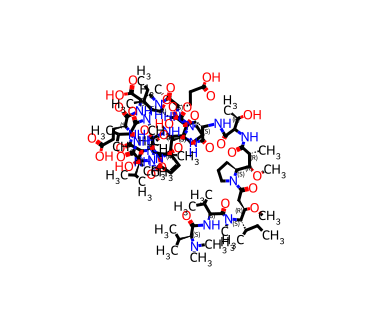 CCC(C)[C@@H]([C@@H](CC(=O)N1CCC[C@H]1[C@H](OC)[C@@H](C)C(=O)NC(C(=O)N[C@@H](CCC(=O)O)C(=O)N[C@@H](CNC(=O)[C@H](CN)N1C(=O)C=CC1=O)C(=O)N[C@@H](CCC(=O)O)C(=O)NC[C@H](NC(=O)[C@H](CCC(=O)O)NC(=O)C(NC(=O)[C@H](C)[C@@H](OC)[C@@H]1CCCN1C(=O)C[C@@H](OC)[C@H]([C@@H](C)CC)N(C)C(=O)C(NC(=O)[C@H](C(C)C)N(C)C)C(C)C)[C@@H](C)O)C(=O)O)[C@@H](C)O)OC)N(C)C(=O)[C@@H](NC(=O)[C@H](C(C)C)N(C)C)C(C)C